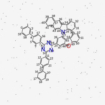 c1ccc(-c2ccc(-c3nc(-c4ccc(-c5ccccc5)cc4)nc(-c4cc(-n5c6ccccc6c6cc7ccccc7cc65)c5c(c4)oc4ccccc45)n3)cc2)cc1